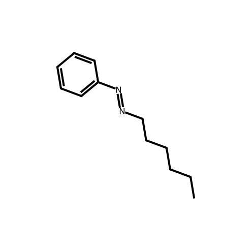 CCCCCCN=Nc1ccccc1